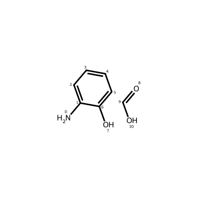 Nc1ccccc1O.O=CO